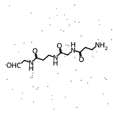 NCCC(=O)NCC(=O)NCCC(=O)NC[C]=O